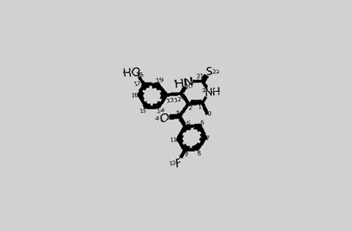 CC1=C(C(=O)c2cccc(F)c2)C(c2cccc(O)c2)NC(=S)N1